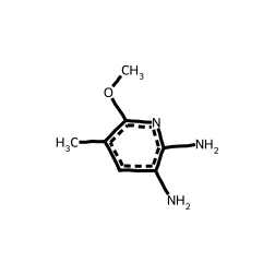 COc1nc(N)c(N)cc1C